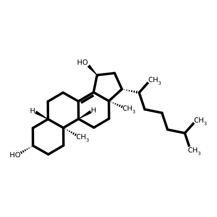 CC(C)CCCC(C)[C@H]1C[C@H](O)C2=C3CC[C@H]4C[C@@H](O)CC[C@]4(C)[C@H]3CC[C@@]21C